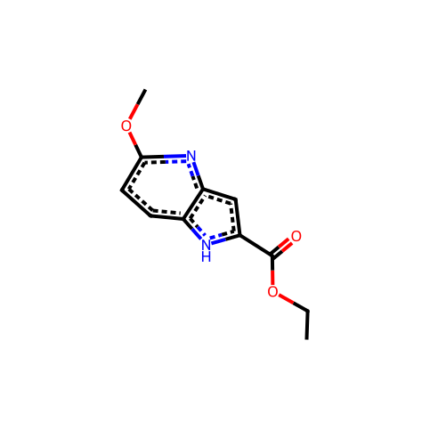 CCOC(=O)c1cc2nc(OC)ccc2[nH]1